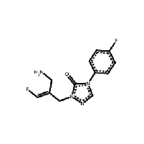 NC/C(=C\F)Cn1ncn(-c2ccc(F)cc2)c1=O